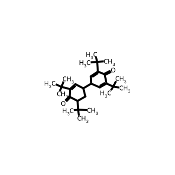 CC(C)(C)C1=CC(C2C=C(C(C)(C)C)C(=O)C(C(C)(C)C)C2)C=C(C(C)(C)C)C1=O